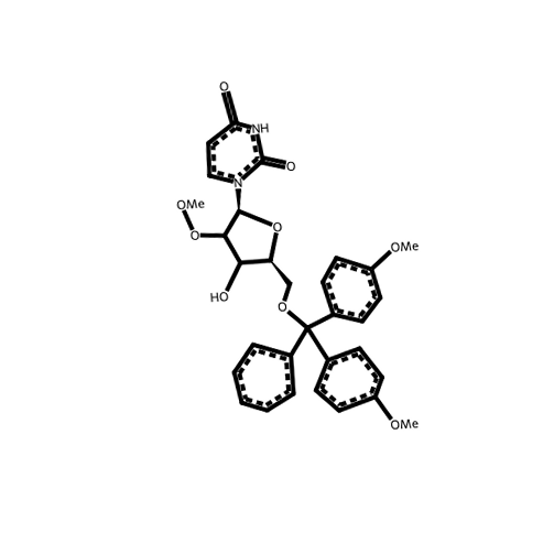 COOC1C(O)[C@H](COC(c2ccccc2)(c2ccc(OC)cc2)c2ccc(OC)cc2)O[C@@H]1n1ccc(=O)[nH]c1=O